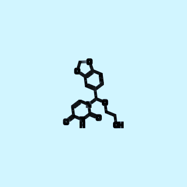 O=c1ccn(C(OCCO)c2ccc3c(c2)OCO3)c(=O)[nH]1